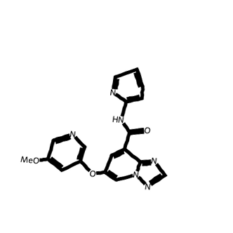 COc1cncc(Oc2cc(C(=O)Nc3ccccn3)c3ncnn3c2)c1